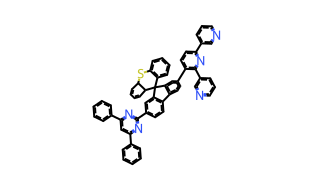 C1=CC2Sc3ccccc3C3(c4cc(-c5nc(-c6ccccc6)cc(-c6ccccc6)n5)ccc4-c4ccc(-c5ccc(-c6cccnc6)nc5-c5cccnc5)cc43)C2C=C1